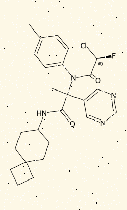 Cc1ccc(N(C(=O)[C@H](F)Cl)C(C)(C(=O)NC2CCC3(CCC3)CC2)c2cncnc2)cc1